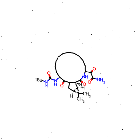 CC(C)(C)NC(=O)N[C@H]1CCCCCCCCCC[C@@H](C(=O)C(N)=O)NC(=O)[C@H]2C(C[C@H]3[C@@H]2C3(C)C)C1=O